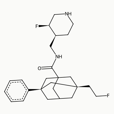 O=C(NC[C@@H]1CCNC[C@@H]1F)C12CC3C[C@@](CCF)(C1)C[C@](c1ccccc1)(C3)C2